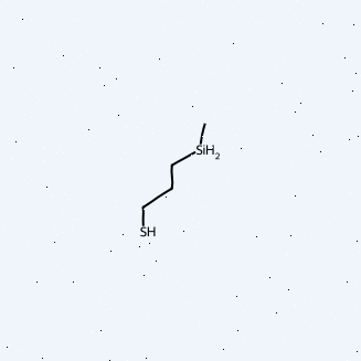 C[SiH2]CCCS